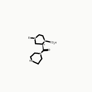 CCN1CCN(C(=O)O)[C@@H](C(=O)N2CCNCC2)C1